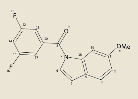 COc1ccc2ccn(C(=O)c3cc(F)cc(F)c3)c2c1